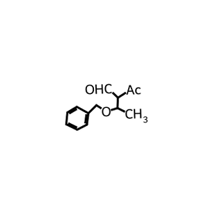 CC(=O)C(C=O)C(C)OCc1ccccc1